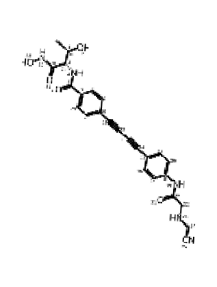 C[C@@H](O)[C@H](NC(=O)c1ccc(C#CC#Cc2ccc(NC(=O)CNCC#N)cc2)cc1)C(=O)NO